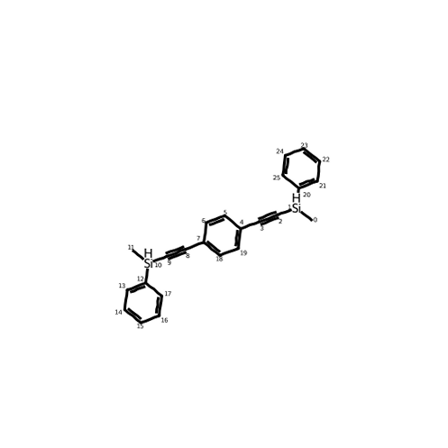 C[SiH](C#Cc1ccc(C#C[SiH](C)c2ccccc2)cc1)c1ccccc1